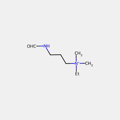 CC[N+](C)(C)CCCNC=O